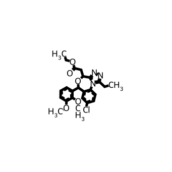 CCOC(=O)CC1OC(c2cccc(OC)c2OC)c2cc(Cl)ccc2-n2c(CC)nnc21